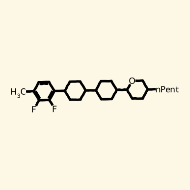 CCCCCC1CCC(C2CCC(C3CCC(c4ccc(C)c(F)c4F)CC3)CC2)OC1